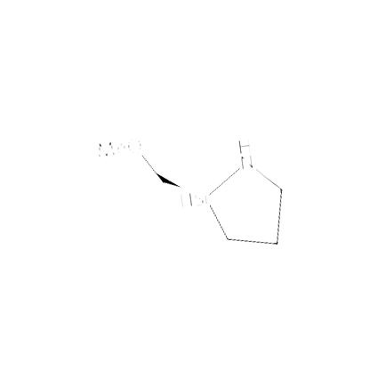 COC[Si@@H]1CCCN1